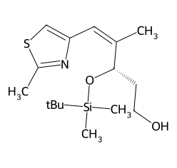 CC(=Cc1csc(C)n1)[C@H](CCO)O[Si](C)(C)C(C)(C)C